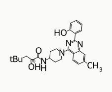 Cc1ccc2c(N3CCC(NC(=O)[C@H](O)CC(C)(C)C)CC3)nc(-c3ccccc3O)nc2c1